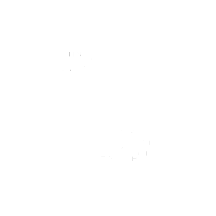 CC(C)(N)C#Cc1ccc(B2OC(C)(C)C(C)(C)O2)cc1